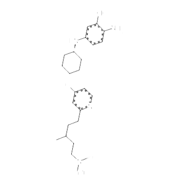 CCCN(CC)CCC(C)CCc1cc(O[C@H]2CC[C@H](Nc3ccc(N)c(C(F)(F)F)c3)CC2)ccn1